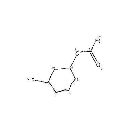 C[CH]C(=O)OC1CCCC(F)C1